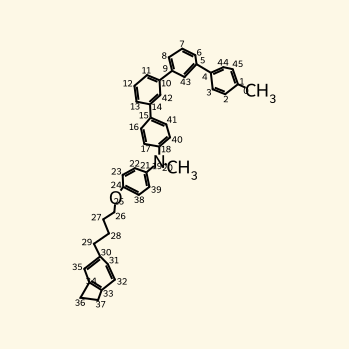 Cc1ccc(-c2cccc(-c3cccc(-c4ccc(N(C)c5ccc(OCCCCc6ccc7c(c6)CC7)cc5)cc4)c3)c2)cc1